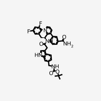 CC(C)(C)OC(=O)NCc1ccc2c(CC(=O)N[C@@H](Cc3cc(F)cc(F)c3)c3ncccc3-c3cccc(C(N)=O)c3)c[nH]c2c1